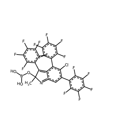 CC1(OB(O)O)N=c2cc(-c3c(F)c(F)c(F)c(F)c3F)c(Cl)c(-c3c(F)c(F)c(F)c(F)c3F)c2=C1c1c(F)c(F)c(F)c(F)c1F